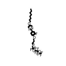 CCCCCCCCOc1cnc(-c2ccc(OCCCOCC(F)(F)OC(F)(F)C(F)(F)OC(F)(F)F)c(F)c2)nc1